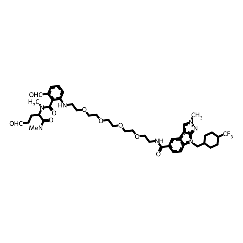 CNC(=O)C(CCC=O)N(C)C(=O)c1c(C=O)cccc1NCCOCCOCCOCCOCCNC(=O)c1ccc2c(c1)c1cn(C)nc1n2CC1CCC(C(F)(F)F)CC1